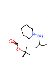 CC(C)(C)OC=O.CC(C)NN1CCCCC1